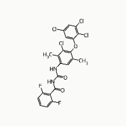 Cc1cc(NC(=O)NC(=O)c2c(F)cccc2F)c(C)c(Cl)c1Oc1cc(Cl)cc(Cl)c1Cl